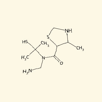 CC1NCSC1C(=O)N(CN)C(C)(C)S